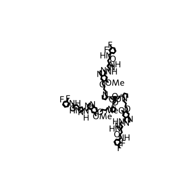 COc1cc2c(Nc3cc(CC(=O)Nc4cccc(F)c4F)[nH]n3)ncnc2cc1OCCCN1CCC[C@@H]1COP(=O)(OC[C@H]1CCCN1CCCOc1cc2ncnc(Nc3cc(CC(=O)Nc4cccc(F)c4F)[nH]n3)c2cc1OC)OC[C@H]1CCCN1CCCOc1cc2ncnc(Nc3cc(CC(=O)Nc4cccc(F)c4F)[nH]n3)c2cc1OC